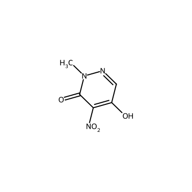 Cn1ncc(O)c([N+](=O)[O-])c1=O